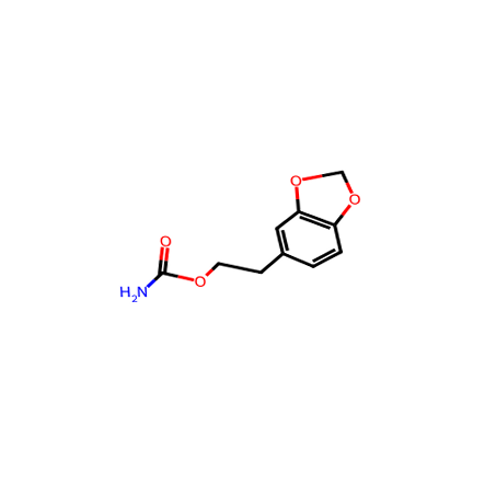 NC(=O)OCCc1ccc2c(c1)OCO2